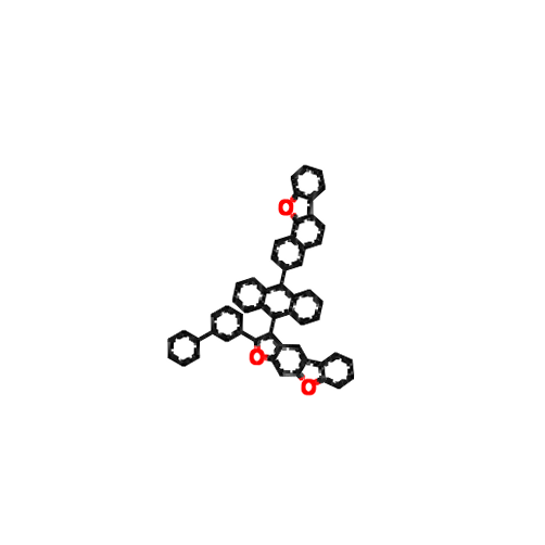 c1ccc(-c2cccc(-c3oc4cc5oc6ccccc6c5cc4c3-c3c4ccccc4c(-c4ccc5c(ccc6c7ccccc7oc56)c4)c4ccccc34)c2)cc1